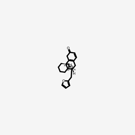 O=C1C=CC2=C(C1)[C@@]13CCCC[C@H]1[C@@H](C2)N(Cc1ccco1)CC3